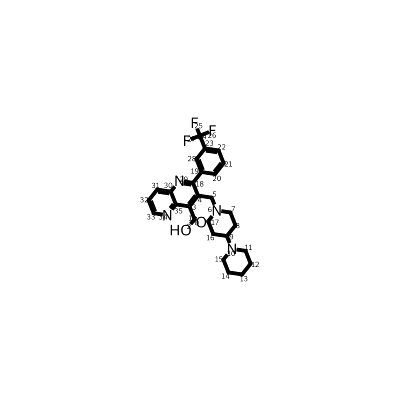 O=C(O)c1c(CN2CCC(N3CCCCC3)CC2)c(-c2cccc(C(F)(F)F)c2)nc2cccnc12